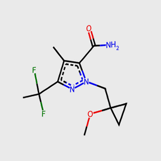 COC1(Cn2nc(C(C)(F)F)c(C)c2C(N)=O)CC1